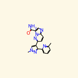 Cc1cccc(-c2nn(C)cc2-c2ccc3ncc(C(N)=O)n3n2)n1